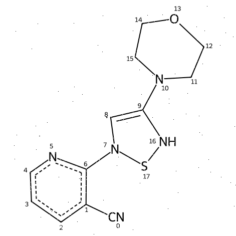 N#Cc1cccnc1N1[C]=C(N2CCOCC2)NS1